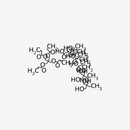 C=C(C)C(=O)O.C=C(C)C(=O)O.C=C(C)C(=O)O.C=C(C)C(=O)O.C=CC(=O)OCC(COC(=O)C=C)(COC(=O)C=C)COC(=O)C=C.CCC(CO)(CO)CO.CCC(CO)(CO)CO